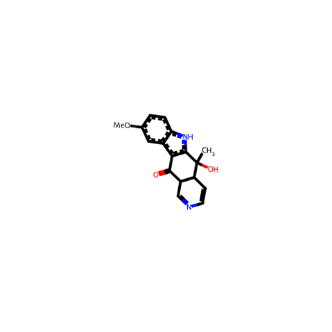 COc1ccc2[nH]c3c(c2c1)C(=O)C1C=NC=CC1C3(C)O